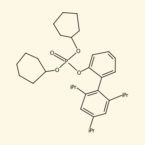 CC(C)c1cc(C(C)C)c(-c2ccccc2OP(=O)(OC2CCCCC2)OC2CCCCC2)c(C(C)C)c1